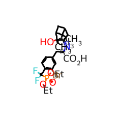 CCOP(=O)(OCC)C(F)(F)c1ccc(C[C@H](/N=C2/CC3CC(C2(C)O)C3(C)C)C(=O)O)cc1Br